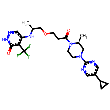 C[C@@H](COCCC(=O)N1CCN(c2ncc(C3CC3)cn2)C[C@@H]1C)Nc1cn[nH]c(=O)c1C(F)(F)F